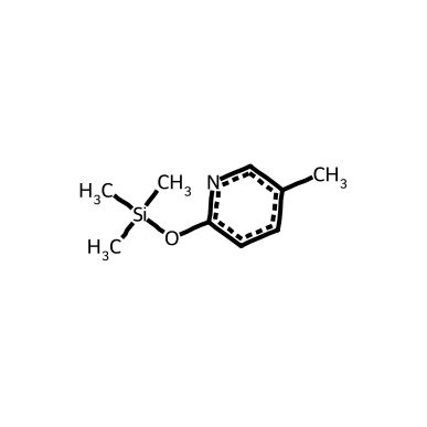 Cc1ccc(O[Si](C)(C)C)nc1